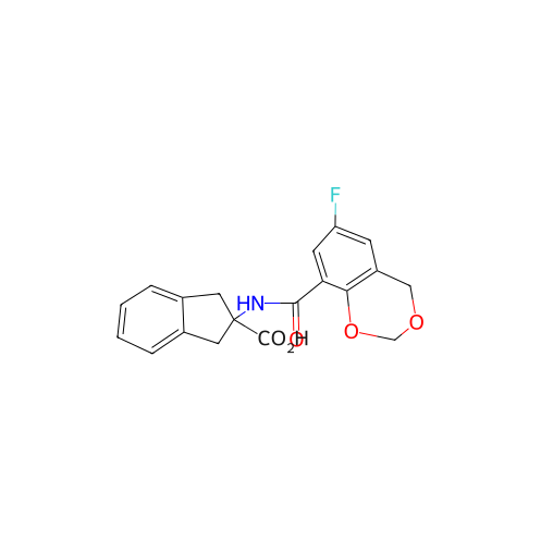 O=C(NC1(C(=O)O)Cc2ccccc2C1)c1cc(F)cc2c1OCOC2